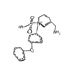 CCCS(=O)(=O)[N+]1(c2ccc(Oc3ccccc3)cc2)C=C(CN)C=CC1